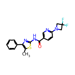 Cc1sc(NC(=O)c2ccc(N3CC(F)(F)C3)nc2)nc1-c1ccccc1